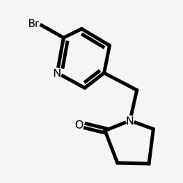 O=C1CCCN1Cc1ccc(Br)nc1